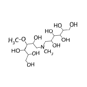 COC(C(O)CN(C)CC(O)C(O)C(O)C(O)CO)C(O)C(O)CO